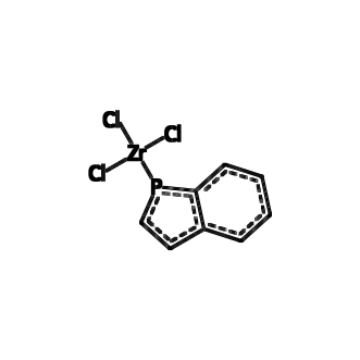 [Cl][Zr]([Cl])([Cl])[p]1ccc2ccccc21